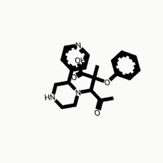 CC(=O)C(N1CCNCC1c1ccncc1)C(C)(Oc1ccccc1)C(=O)O